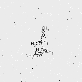 CCC(C)(CCCOC1CN(C)C1)OCCCC(C)(CC)OC1CC(OC(C)C)C1